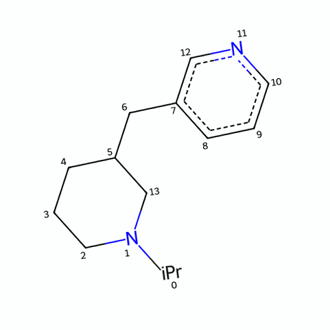 CC(C)N1CCCC(Cc2cccnc2)C1